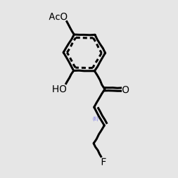 CC(=O)Oc1ccc(C(=O)/C=C/CF)c(O)c1